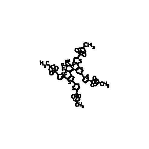 CC12COC(c3ccc(-c4cc(C5=C(c6cc(-c7ccc(C89OCC(C)(CO8)CO9)s7)sc6-c6ccc(C78OCC(C)(CO7)CO8)s6)C(F)(F)C(F)(F)C5(F)F)c(-c5ccc(C67OCC(C)(CO6)CO7)s5)s4)s3)(OC1)OC2